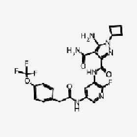 NC(=O)c1c(C(=O)Nc2cc(NC(=O)Cc3ccc(OC(F)(F)F)cc3)cnc2F)nn(C2CCC2)c1N